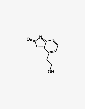 O=C1C=c2c(CCO)cccc2=N1